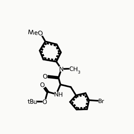 COc1ccc(N(C)C(=O)C(Cc2cccc(Br)c2)NC(=O)OC(C)(C)C)cc1